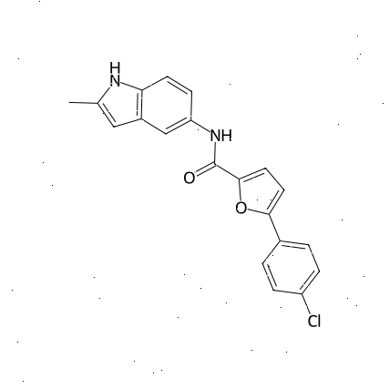 Cc1cc2cc(NC(=O)c3ccc(-c4ccc(Cl)cc4)o3)ccc2[nH]1